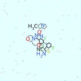 C[C@H]1CN2CCC[C@@]2(COc2nc3c4c(c(Cl)c(-c5ccc(F)c6sc(N)c(C#N)c56)c(F)c4n2)OCCC2COCCCN32)C1